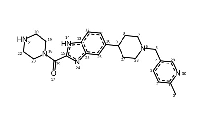 Cc1ccc(CN2CCC(c3ccc4[nH]c(C(=O)N5CCNCC5)nc4c3)CC2)cn1